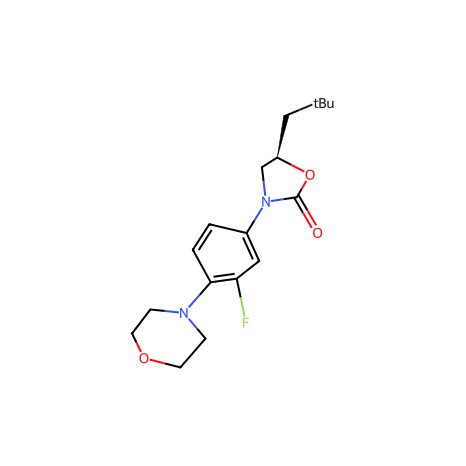 CC(C)(C)C[C@@H]1CN(c2ccc(N3CCOCC3)c(F)c2)C(=O)O1